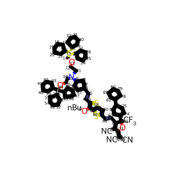 CCCCOc1c(/C=C/c2ccc(N(CCOCS(c3ccccc3)(c3ccccc3)c3ccccc3)CCO[Si](c3ccccc3)(c3ccccc3)c3ccccc3)cc2)sc2cc(/C=C/C3=C(C#N)C(=C(C#N)C#N)OC3(c3ccc(-c4ccccc4)cc3)C(F)(F)F)sc12